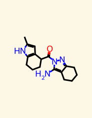 Cc1cc2c([nH]1)CCCC2C(=O)n1nc2c(c1N)CCCC2